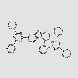 C1=CC(c2cc(-c3ccccc3)nc(-c3ccccc3C3=c4c(sc5cc(-c6nc(-c7ccccc7)nc(-c7ccccc7)n6)ccc45)=CCC3)n2)=CCC1